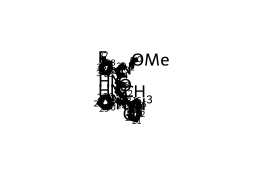 COCCN1C[C@@H](NC(=O)Nc2c(C)c(-c3cnn4c3OCCC4)nn2-c2ccccc2)[C@H](c2cccc(F)c2)C1